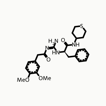 COc1ccc(CC(=O)N=C(N)N[C@H](Cc2ccccc2)C(=O)NC2CCSCC2)cc1OC